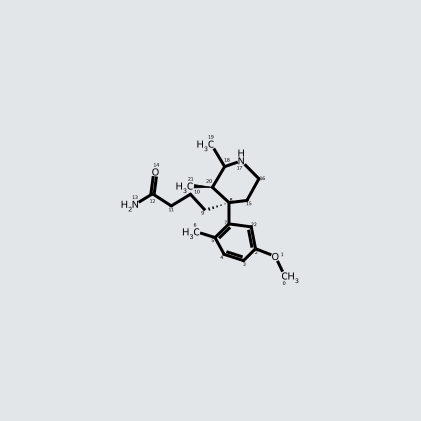 COc1ccc(C)c([C@]2(CCCC(N)=O)CCNC(C)[C@@H]2C)c1